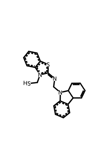 SCn1c(=NCN2c3ccccc3C3C=CC=CC32)sc2ccccc21